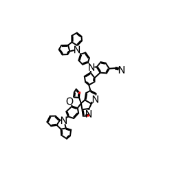 N#Cc1ccc2c(c1)c1cc(-c3cnc4c(c3)C3(c5ccccc5Oc5cc(-n6c7ccccc7c7ccccc76)ccc53)c3cccnc3-4)ccc1n2-c1ccc(-n2c3ccccc3c3ccccc32)cc1